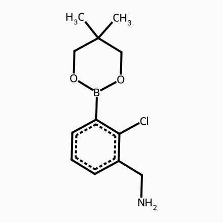 CC1(C)COB(c2cccc(CN)c2Cl)OC1